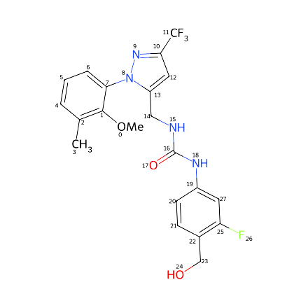 COc1c(C)cccc1-n1nc(C(F)(F)F)cc1CNC(=O)Nc1ccc(CO)c(F)c1